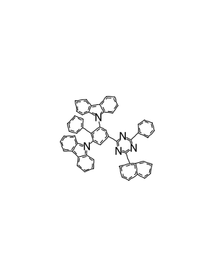 c1ccc(-c2nc(-c3cc(-n4c5ccccc5c5ccccc54)c(-c4ccccc4)c(-n4c5ccccc5c5ccccc54)c3)nc(-c3cccc4ccccc34)n2)cc1